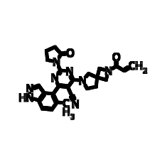 C=CC(=O)N1CC2(CCN(c3nc(N4CCCC4=O)nc(-c4c(C)ccc5[nH]ncc45)c3C#N)C2)C1